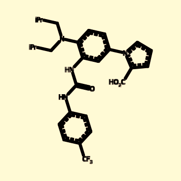 CC(C)CN(CC(C)C)c1ccc(-n2cccc2C(=O)O)cc1NC(=O)Nc1ccc(C(F)(F)F)cc1